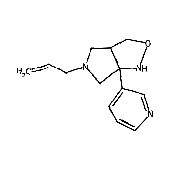 C=CCN1CC2CONC2(c2cccnc2)C1